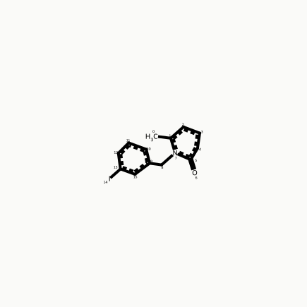 Cc1cccc(=O)n1Cc1cccc(I)c1